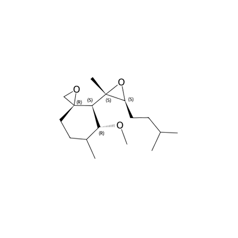 CO[C@@H]1C(C)CC[C@]2(CO2)[C@H]1[C@]1(C)O[C@H]1CCC(C)C